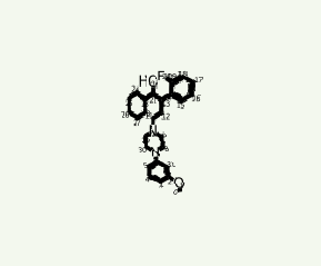 COc1cccc(N2CCN(CCC(c3ccccc3F)C(O)C3CCCCC3)CC2)c1